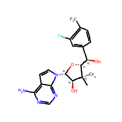 C[C@]1(C(F)(F)F)[C@@H]([C@H](O)c2ccc(C(F)(F)F)c(F)c2)O[C@@H](n2ccc3c(N)ncnc32)[C@@H]1O